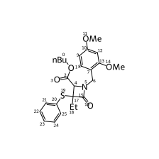 CCCCOC(=O)C1N(Cc2ccc(OC)cc2OC)C(=O)C1(CC)Sc1ccccc1